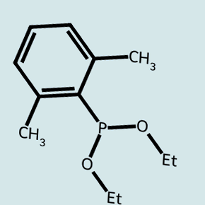 CCOP(OCC)c1c(C)cccc1C